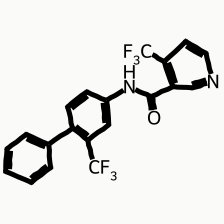 O=C(Nc1ccc(-c2ccccc2)c(C(F)(F)F)c1)c1cnccc1C(F)(F)F